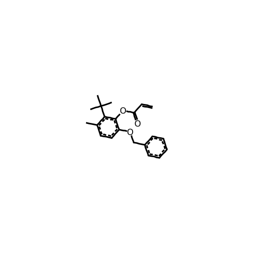 C=CC(=O)Oc1c(OCc2ccccc2)ccc(C)c1C(C)(C)C